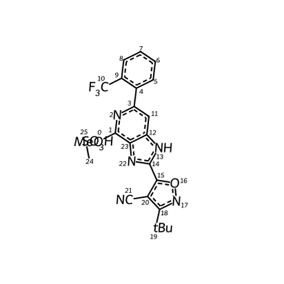 COc1nc(-c2ccccc2C(F)(F)F)cc2[nH]c(-c3onc(C(C)(C)C)c3C#N)nc12.CS(=O)(=O)O